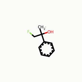 [CH2]C(O)(CF)c1ccccc1